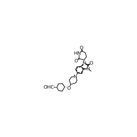 Cn1c(=O)n(C2CCC(=O)NC2=O)c2ccc(N3CCC(O[C@H]4CC[C@H](C=O)CC4)CC3)cc21